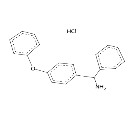 Cl.NC(c1ccccc1)c1ccc(Oc2ccccc2)cc1